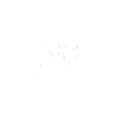 CC(C)Oc1ccc(Cn2cc([C@@H]3O[C@H](CO)[C@@H](O)[C@H](O)[C@H]3O)c3cccc(Cl)c32)c(F)c1